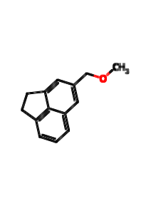 COCc1cc2c3c(cccc3c1)CC2